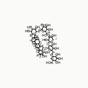 C[C@@H]1O[C@@H](O[C@H]2[C@H](OC[C@@]34CC[C@]5(C)C(=CC[C@@H]6[C@@]7(C)CC[C@H](O[C@@H]8O[C@H](CO[C@@H]9O[C@H](CO)[C@@H](O)[C@H](O)[C@H]9O)[C@@H](O)[C@H](O)[C@H]8O)C(C)(C)[C@@H]7CC[C@]65C)[C@@H]3CC(C)(C)[C@@H](O)[C@@H]4O)O[C@H](CO[C@@H]3O[C@H](CO)[C@@H](O)[C@H](O)[C@H]3O)[C@@H](O)[C@@H]2O)[C@H](O)[C@H](O)[C@H]1O